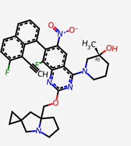 C#Cc1c(F)ccc2cccc(-c3c([N+](=O)[O-])cc4c(N5CCC[C@@](C)(O)C5)nc(OCC56CCCN5CC5(CC5)C6)nc4c3F)c12